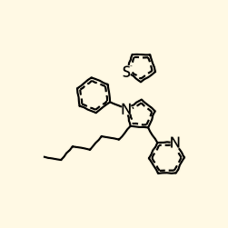 CCCCCCc1c(-c2ccccn2)ccn1-c1ccccc1.c1ccsc1